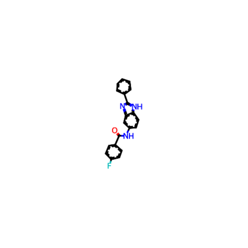 O=C(Nc1ccc2[nH]c(-c3ccccc3)nc2c1)c1ccc(F)cc1